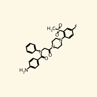 CS(=O)(=O)c1cc(F)ccc1N1CCN(C(=O)CN(C(=O)c2ccc(N)cc2)c2ccccc2)CC1